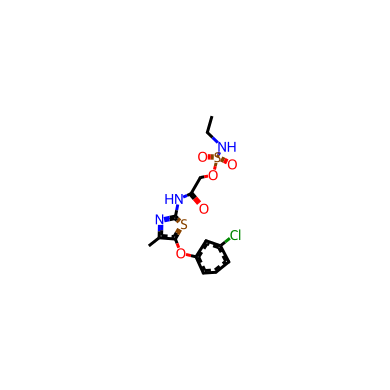 CCNS(=O)(=O)OCC(=O)Nc1nc(C)c(Oc2cccc(Cl)c2)s1